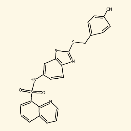 N#Cc1ccc(CSc2nc3ccc(NS(=O)(=O)c4cccc5cccnc45)cc3s2)cc1